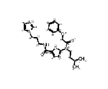 CC(C)CCN(C(=O)COc1ccccc1)c1ncc(C(=O)NCCCn2ccnc2)s1